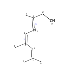 CC(C)=C/C(C)=C\N=C(/C)CC#N